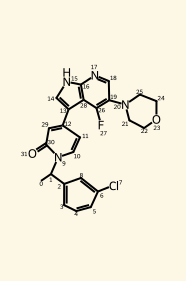 CC(c1cccc(Cl)c1)n1ccc(-c2c[nH]c3ncc(N4CCOCC4)c(F)c23)cc1=O